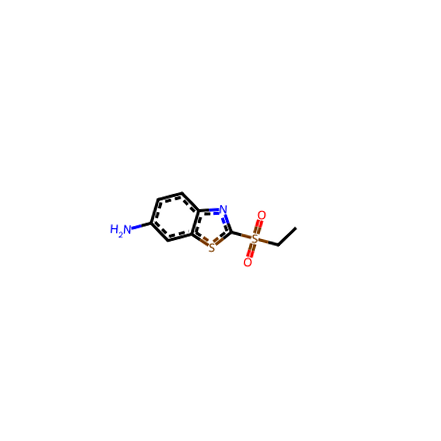 CCS(=O)(=O)c1nc2ccc(N)cc2s1